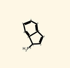 PC1C=Cc2ccccc21